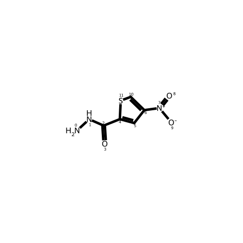 NNC(=O)c1cc([N+](=O)[O-])cs1